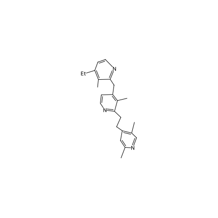 CCc1ccnc(Cc2ccnc(CCc3cc(C)ncc3C)c2C)c1C